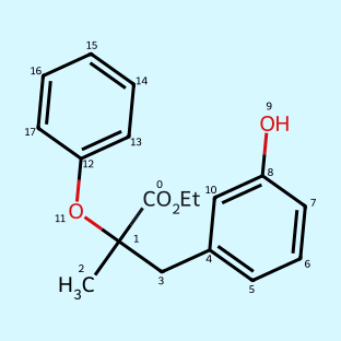 CCOC(=O)C(C)(Cc1cccc(O)c1)Oc1ccccc1